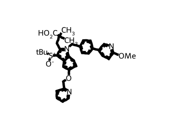 COc1ccc(-c2ccc(Cn3c(CC(C)(C)C(=O)O)c([S+]([O-])C(C)(C)C)c4cc(OCc5ccccn5)ccc43)cc2)cn1